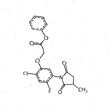 CC1CC(=O)N(c2cc(OCC(=O)Oc3ccccc3)c(Cl)cc2F)C1=O